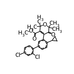 COC(=O)C1=C(c2cc(-c3ccc(Cl)cc3Cl)ccc2C2CC2)C(=O)C(C)(C)OC1(C)C